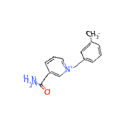 [CH2]c1cccc(C[n+]2cccc(C(N)=O)c2)c1